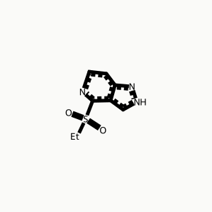 CCS(=O)(=O)c1nccc2n[nH]cc12